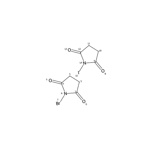 O=C1CCC(=O)N1Br.O=C1CCC(=O)N1I